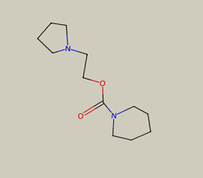 O=C(OCCN1CCCC1)N1CCCCC1